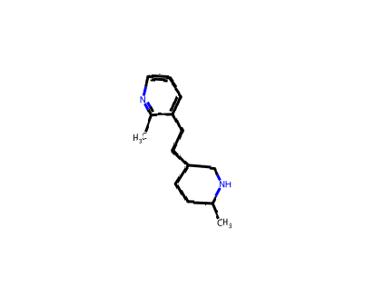 Cc1ncccc1CCC1CCC(C)NC1